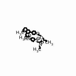 CCCCOCCOc1ccc(-c2cc(C=C(C)C(=O)Nc3ccc([S+]([O-])Cc4cncn4CCC)cc3)c3c(c2)CCCN3C)cc1